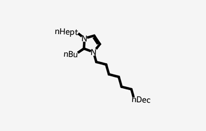 CCCCCCCCCCCCCCCCN1C=CN(CCCCCCC)C1CCCC